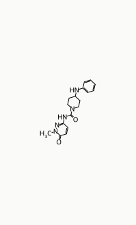 Cn1nc(NC(=O)N2CCC(Nc3ccccc3)CC2)ccc1=O